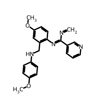 C=N/C(=N\c1ccc(OC)cc1CNc1ccc(OC)cc1)c1cccnc1